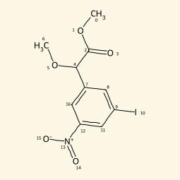 COC(=O)C(OC)c1cc(I)cc([N+](=O)[O-])c1